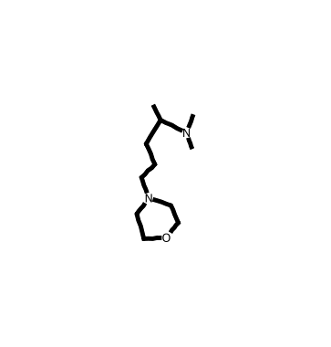 CC(CCCN1CCOCC1)N(C)C